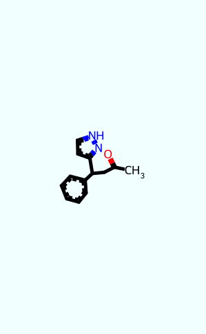 CC(=O)CC(c1ccccc1)c1cc[nH]n1